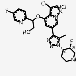 Cc1c(-c2cc(OC(CO)c3ccc(F)cn3)c3c(Cl)cnn3c2)nnn1[C@H]1CCNC[C@@H]1F.Cl